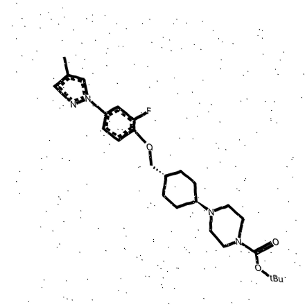 Cc1cnn(-c2ccc(OC[C@H]3CC[C@H](N4CCN(C(=O)OC(C)(C)C)CC4)CC3)c(F)c2)c1